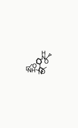 Cc1noc(C)c1-c1cc(NC(=O)C2CC2)ccc1OCC1CCN1